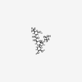 COc1cc(NC(=O)N[C@@H]2CC[C@@]3(c4ccc(OC)c(OC)c4)CCN(C)[C@H]3C2)cc(C(F)(F)F)c1.O=C(O)C(F)(F)F